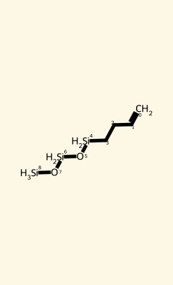 C=CCC[SiH2]O[SiH2]O[SiH3]